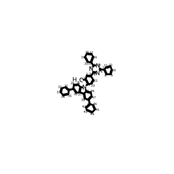 Cc1cc(-c2nc(-c3ccccc3)nc(-c3ccccc3)n2)ccc1-n1c2ccc(-c3ccccc3)cc2c2cc(-c3ccccc3)ccc21